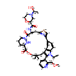 CCn1c(-c2cccnc2[C@H](C)OC)c2c3cc(ccc31)-c1csc(n1)C[C@H](NC(=O)[C@@H]1CN(C(C)O)CCO1)C(=O)N1CCC[C@H](N1)C(=O)OCC(C)(C)C2